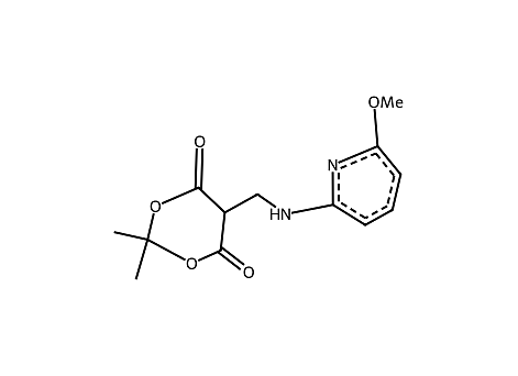 COc1cccc(NCC2C(=O)OC(C)(C)OC2=O)n1